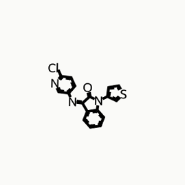 O=C1C(=Nc2ccc(Cl)nc2)c2ccccc2N1c1ccsc1